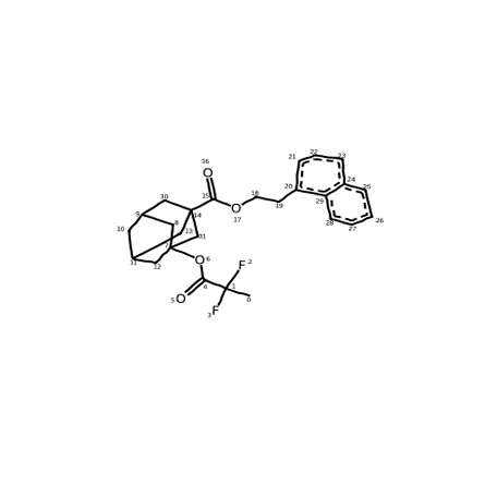 CC(F)(F)C(=O)OC12CC3CC(C1)CC(C(=O)OCCc1cccc4ccccc14)(C3)C2